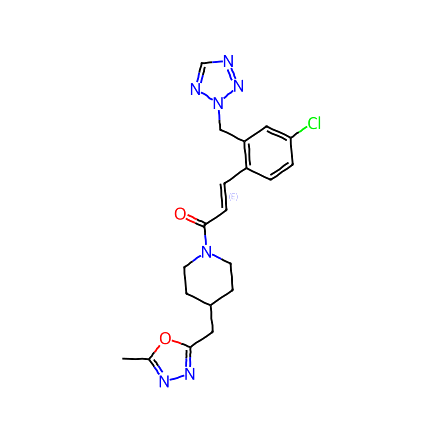 Cc1nnc(CC2CCN(C(=O)/C=C/c3ccc(Cl)cc3Cn3ncnn3)CC2)o1